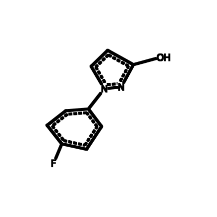 Oc1ccn(-c2ccc(F)cc2)n1